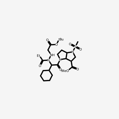 CCC(=O)N(NCC(=O)OC(C)(C)C)C(C(=O)N1CCC2C1C(C(=O)OC)CN2S(C)(=O)=O)C1CCCCC1